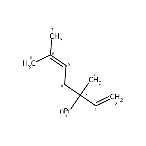 C=CC(C)(CC=C(C)C)CCC